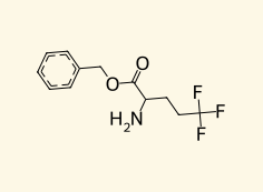 NC(CCC(F)(F)F)C(=O)OCc1ccccc1